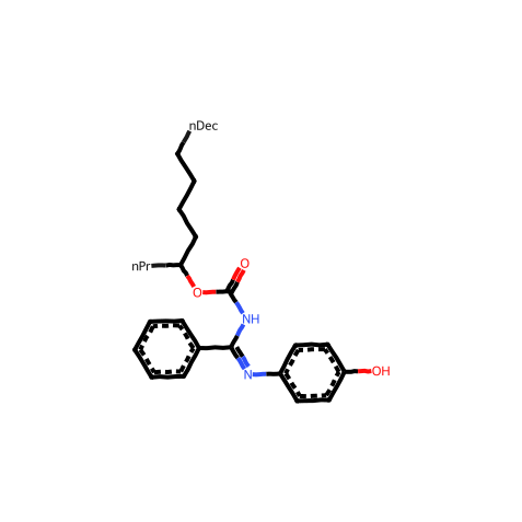 CCCCCCCCCCCCCCC(CCC)OC(=O)NC(=Nc1ccc(O)cc1)c1ccccc1